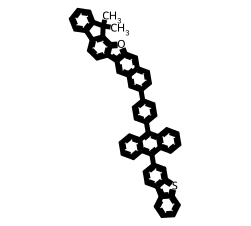 CC1(C)c2ccccc2-c2ccc3c(oc4cc5ccc(-c6ccc(-c7c8ccccc8c(-c8ccc9c(c8)sc8ccccc89)c8ccccc78)cc6)cc5cc43)c21